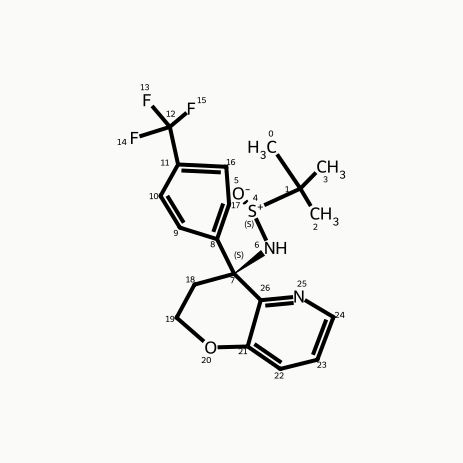 CC(C)(C)[S@@+]([O-])N[C@]1(c2ccc(C(F)(F)F)cc2)CCOc2cccnc21